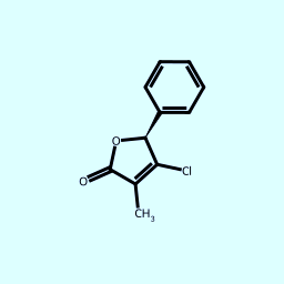 CC1=C(Cl)[C@H](c2ccccc2)OC1=O